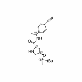 C#Cc1ccc([C@H](C)NC(=O)[C@@H]2C[C@@H](O[Si](C)(C)C(C)(C)C)CN2)cc1